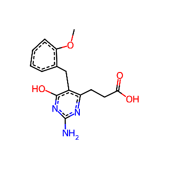 COc1ccccc1Cc1c(O)nc(N)nc1CCC(=O)O